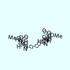 COC(=O)N[C@H](C(=O)N1[C@H](c2ncc(-c3ccc4cc(-c5ccc(-c6cnc([C@@H]7C[C@H]8C[C@H]8N7C(=O)[C@@H](NC(=O)OC)C7CCOCC7)[nH]6)cc5)ccc4c3)[nH]2)C2C3[C@H]2[C@@H]31)C1CCOCC1